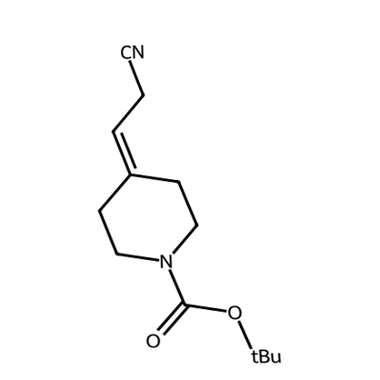 CC(C)(C)OC(=O)N1CCC(=CCC#N)CC1